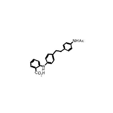 CC(=O)Nc1ccc(CCc2ccc(Nc3ccccc3C(=O)O)cc2)cc1